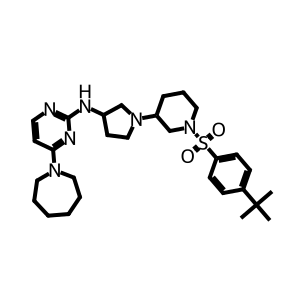 CC(C)(C)c1ccc(S(=O)(=O)N2CCCC(N3CCC(Nc4nccc(N5CCCCCC5)n4)C3)C2)cc1